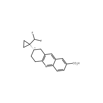 O=C(O)c1ccc2nc3c(cc2c1)C[C@@H](C1(C(F)F)CC1)CC3